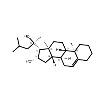 CC(C)C[C@@](C)(O)[C@H]1[C@@H](O)C[C@H]2[C@@H]3CC=C4CCCC[C@]4(C)[C@H]3CC[C@@]21C